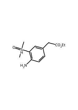 CCOC(=O)Cc1ccc(N)c([SH](C)(C)=O)c1